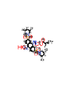 CC(C)C(C)C(=O)OCON=C1c2cc(S(=O)(=O)N3C[C@H](C)C[C@H](C)C3)ccc2C(=NO)c2ccc(S(=O)(=O)N3C[C@H](C)C[C@H](C)C3)cc21